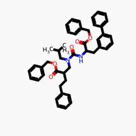 CC(C)CN(CC(CCc1ccccc1)C(=O)OCc1ccccc1)C(=O)NC(Cc1cccc(-c2ccccc2)c1)C(=O)OCc1ccccc1